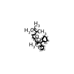 CC(C)C(C)c1ccc(CC(C)(C)C(c2ccccc2)c2ccco2)o1